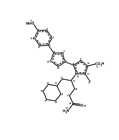 COc1ccc(-c2nc(-c3cc(C(=O)O)c(C)n3C(CCC(N)=O)CC3CCCCC3)cs2)cn1